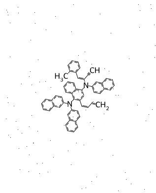 C#C/C(=C\c1ccccc1C)N(c1ccc2ccccc2c1)c1cc(/C=C\C=C)c(N(c2ccc3ccccc3c2)c2ccc3ccccc3c2)c2ccccc12